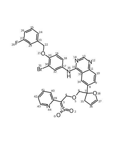 O=S(=O)=C(COCC1(c2ccc3ncnc(Nc4ccc(OCc5cccc(F)c5)c(Br)c4)c3c2)CC=CO1)c1ccccn1